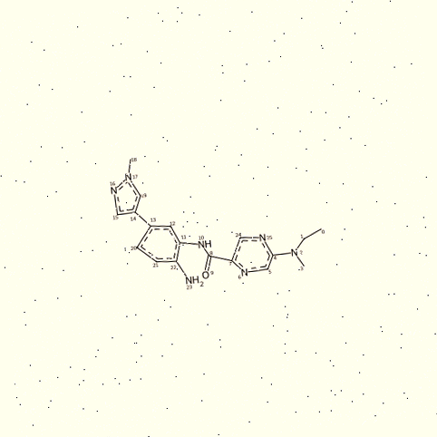 CCN(C)c1cnc(C(=O)Nc2cc(-c3cnn(C)c3)ccc2N)cn1